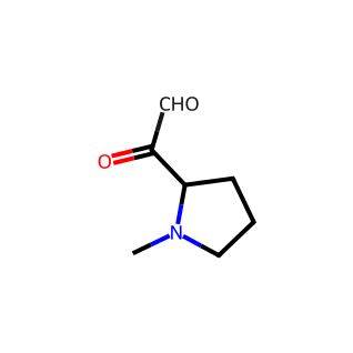 CN1CCCC1C(=O)C=O